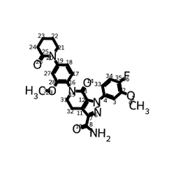 COc1cc(-n2nc(C(N)=O)c3c2C(=O)N(c2ccc(N4CCCCC4=O)cc2OC)CC3)ccc1F